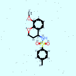 CCOc1cccc2c1OCCC2NS(=O)(=O)c1ccc(C)cc1